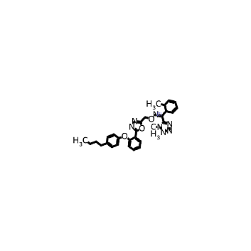 CCCCc1ccc(Oc2ccccc2-c2nnc(CO/N=C(\c3nnnn3C)C3C=CC=CC3C)o2)cc1